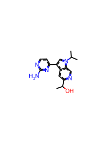 CC(O)c1cc2c(-c3ccnc(N)n3)cn(C(C)C)c2cn1